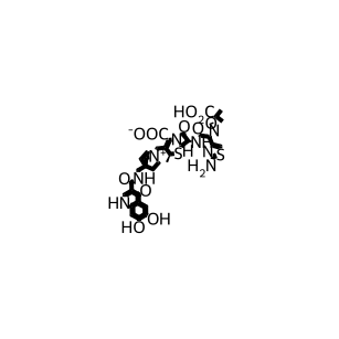 C[C@@H]1S[C@@H]2[C@H](NC(=O)/C(=N\OC(C)(C)C(=O)O)c3csc(N)n3)C(=O)N2C(C(=O)[O-])=C1C[N+]12CCC(CNC(=O)c3c[nH]c4cc(O)c(O)cc4c3=O)(CC1)C2